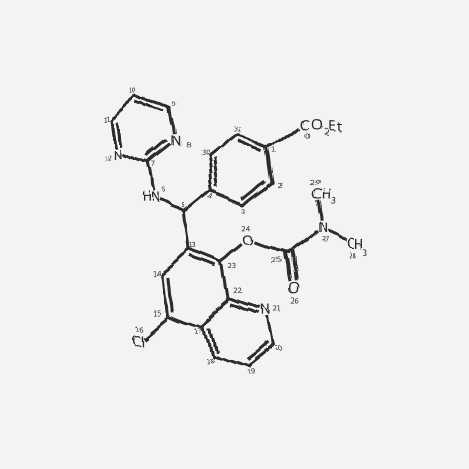 CCOC(=O)c1ccc(C(Nc2ncccn2)c2cc(Cl)c3cccnc3c2OC(=O)N(C)C)cc1